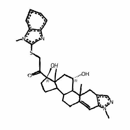 Cn1ncc2c1C=C1CCC3C([C@@H](O)CC4(C)C3CC[C@]4(O)C(=O)CSc3nc4ccccc4n3C)C1(C)C2